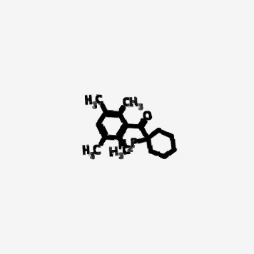 Cc1cc(C)c(C)c(C(=O)C2(P)CCCCC2)c1C